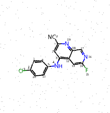 N#Cc1cc(Nc2ccc(Cl)cc2)c2cc(F)ncc2n1